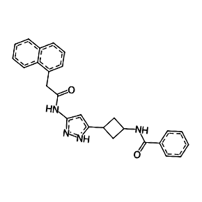 O=C(Cc1cccc2ccccc12)Nc1cc(C2CC(NC(=O)c3ccccc3)C2)[nH]n1